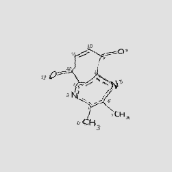 Cc1nc2c(nc1C)C(=O)C=CC2=O